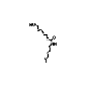 CSCCCCNC(=O)OCSCSCO